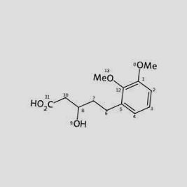 COc1cccc(CCC(O)CC(=O)O)c1OC